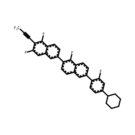 Fc1cc(C2CCCCC2)ccc1-c1ccc2c(F)c(-c3ccc4c(F)c(C#CC(F)(F)F)c(F)cc4c3)ccc2c1